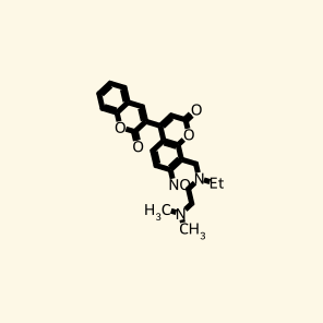 CCN(CCN(C)C)Cc1c(N=O)ccc2c(-c3cc4ccccc4oc3=O)cc(=O)oc12